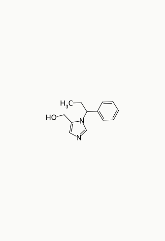 CCC(c1ccccc1)n1cncc1CO